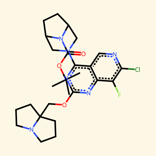 CC(C)(C)OC(=O)N1C2CCC1CN(c1nc(OCC34CCCN3CCC4)nc3c(F)c(Cl)ncc13)C2